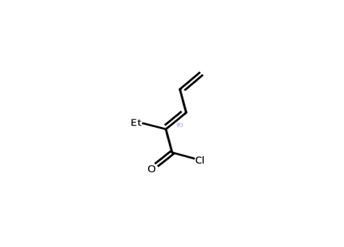 C=C/C=C(\CC)C(=O)Cl